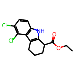 CCOC(=O)C1CCCc2c1[nH]c1ccc(Cl)c(Cl)c21